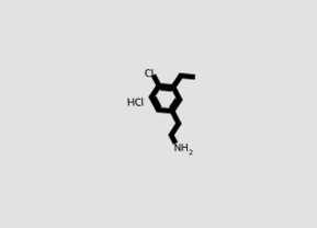 CCc1cc(CCN)ccc1Cl.Cl